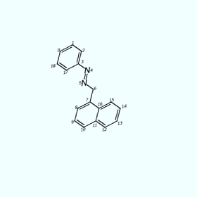 c1ccc(N=NCc2cccc3ccccc23)cc1